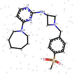 CS(=O)(=O)c1ccc(CN2CC(Nc3nccc(N4CCCCCC4)n3)C2)cc1